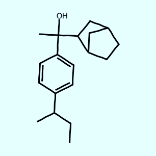 CCC(C)c1ccc(C(C)(O)C2CC3CCC2C3)cc1